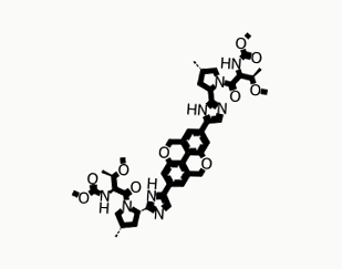 COC(=O)NC(C(=O)N1C[C@@H](C)CC1c1ncc(-c2cc3c4c(c2)OCc2cc(-c5cnc([C@@H]6C[C@H](C)CN6C(=O)[C@@H](NC(=O)OC)[C@@H](C)OC)[nH]5)cc(c2-4)OC3)[nH]1)[C@@H](C)OC